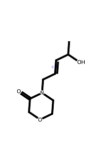 CC(O)/C=C/CN1CCOCC1=O